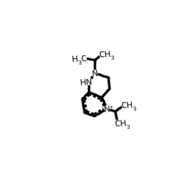 CC(C)N1CCc2c(ccc[n+]2C(C)C)N1